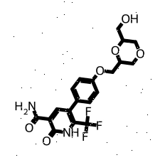 NC(=O)c1cc(-c2ccc(OCC3COCC(CO)O3)cc2)c(C(F)(F)F)[nH]c1=O